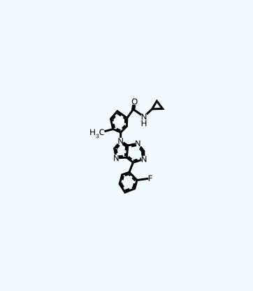 Cc1ccc(C(=O)NC2CC2)cc1-n1cnc2c(-c3ccccc3F)ncnc21